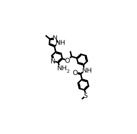 CSc1ccc(C(=O)Nc2cccc(C(C)Oc3cc(-c4cc(C)n[nH]4)cnc3N)c2)cc1